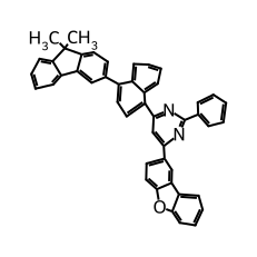 CC1(C)c2ccccc2-c2cc(-c3ccc(-c4cc(-c5ccc6oc7ccccc7c6c5)nc(-c5ccccc5)n4)c4ccccc34)ccc21